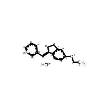 CCOc1ccc2c(c1)CC/C2=C\c1cccnc1.Cl